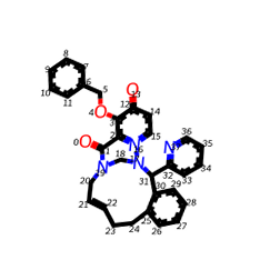 O=C1c2c(OCc3ccccc3)c(=O)ccn2N2CN1C/C=C/CCc1ccccc1C2c1ccccn1